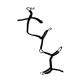 CC(=O)C(=O)OC(=O)CC(C)(C)O